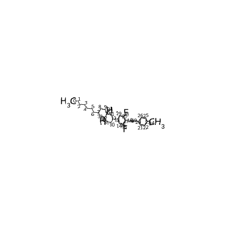 CCCCCCCC1CC[C@@H]2C[C@H](c3cc(F)c(C#Cc4ccc(C)cc4)c(F)c3)CC[C@@H]2C1